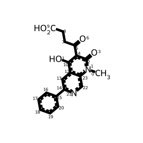 Cn1c(=O)c(C(=O)CCC(=O)O)c(O)c2cc(-c3ccccc3)ncc21